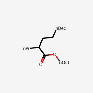 CCCCCCCCCCCCC(CCC)C(=O)OCCCCCCCC